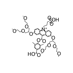 COCCOCC(COCCOC)Oc1ccc2c(c1)c(C(=O)Oc1c(C)cc(C(=O)O)cc1C)c1cc(OC(COCCOC)COCCOC)ccc1[n+]2CCCS(=O)(=O)O